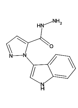 NNC(=O)c1ccnn1-c1c[nH]c2ccccc12